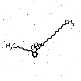 CCCCCCCCCCCCCCCCC(C(=O)O)c1ccccc1CCCCCCCCC